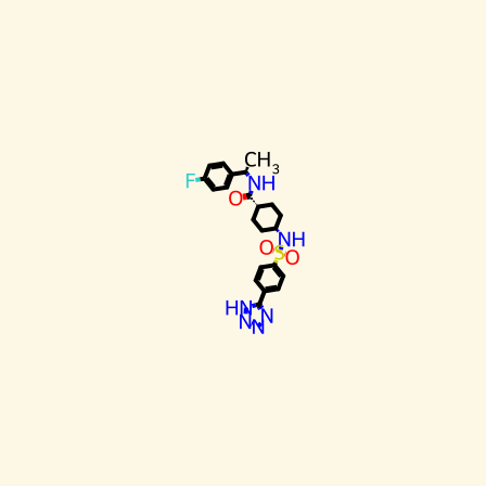 C[C@@H](NC(=O)[C@H]1CC[C@H](NS(=O)(=O)c2ccc(-c3nnn[nH]3)cc2)CC1)c1ccc(F)cc1